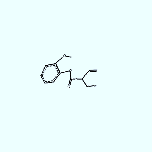 C=CC(CC)C(=O)Oc1ccccc1OC